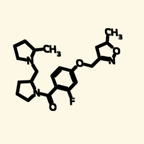 CC1CC(COc2ccc(C(=O)N3CCCC3CN3CCCC3C)c(F)c2)=NO1